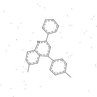 Cc1ccc(-c2cc(-c3ccccc3)nc3ccc(C)cc23)cc1